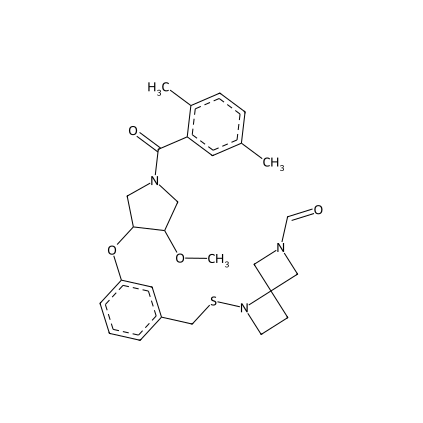 COC1CN(C(=O)c2cc(C)ccc2C)CC1Oc1cccc(CSN2CCC23CN(C=O)C3)c1